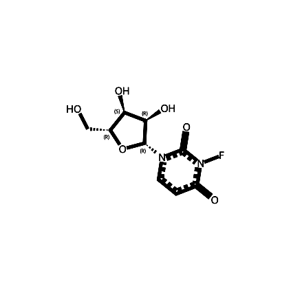 O=c1ccn([C@@H]2O[C@H](CO)[C@@H](O)[C@H]2O)c(=O)n1F